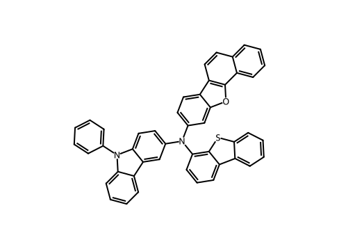 c1ccc(-n2c3ccccc3c3cc(N(c4ccc5c(c4)oc4c6ccccc6ccc54)c4cccc5c4sc4ccccc45)ccc32)cc1